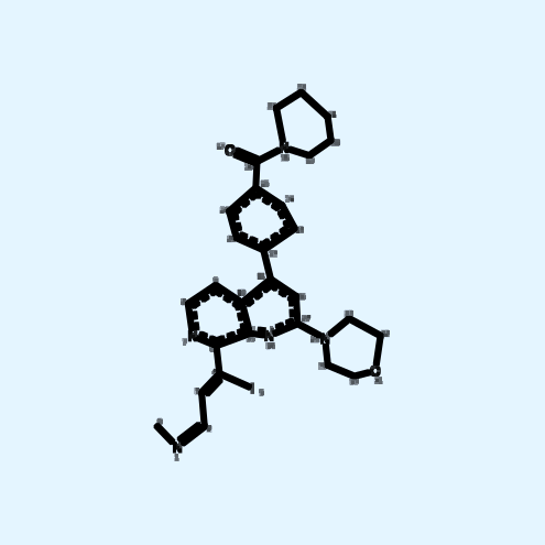 C/N=C\C=C(/I)c1nccc2c(-c3ccc(C(=O)N4CCCCC4)cc3)cc(N3CCOCC3)nc12